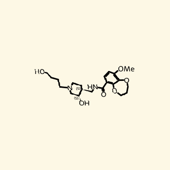 COc1ccc(C(=O)NC[C@@H]2CCN(CCCCO)C[C@H]2O)c2c1OCCCO2